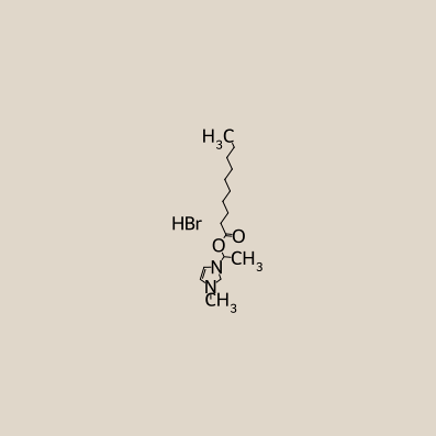 Br.CCCCCCCCCC(=O)OC(C)N1C=CN(C)C1